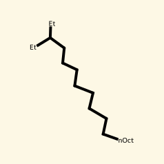 [CH2]CCCCCCCCCCCCCCCC(C[CH2])CC